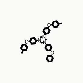 Cc1ccc(Oc2ccc(N3CN(c4ccc(Oc5ccccc5)cc4)CN(c4ccc(Oc5ccc(C)cc5)cc4)C3)cc2)cc1